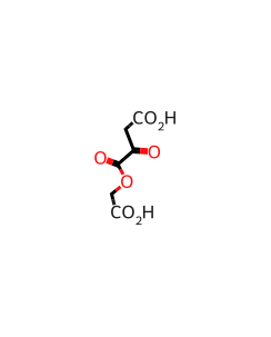 O=C(O)COC(=O)C(=O)CC(=O)O